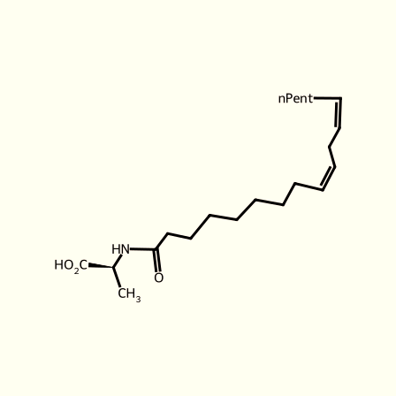 CCCCC/C=C\C/C=C\CCCCCCCC(=O)N[C@@H](C)C(=O)O